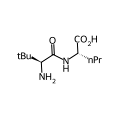 CCC[C@H](NC(=O)[C@@H](N)C(C)(C)C)C(=O)O